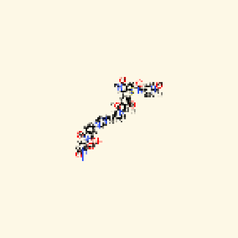 COc1cc(-c2cn(C)c(=O)c3cc(C(=O)NC4CCN(C(C)=O)CC4)sc23)cc(OC)c1CN1CCC(CCN2CCN(c3ccc4c(c3)C(O)N(C3CCC(=O)NC3=O)C4=O)CC2)CC1